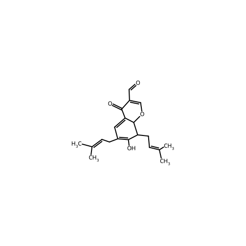 CC(C)=CCC1=C(O)C(CC=C(C)C)C2OC=C(C=O)C(=O)C2=C1